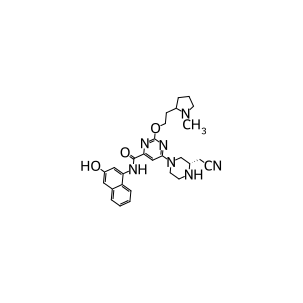 CN1CCCC1CCOc1nc(C(=O)Nc2cc(O)cc3ccccc23)cc(N2CCN[C@@H](CC#N)C2)n1